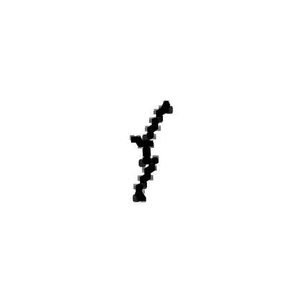 CCCC(C)(C#CC(=O)N(C)CCCCOCC1CO1)OCCCCOCC1CO1